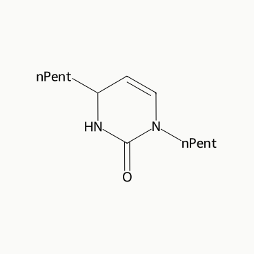 CCCCCC1C=CN(CCCCC)C(=O)N1